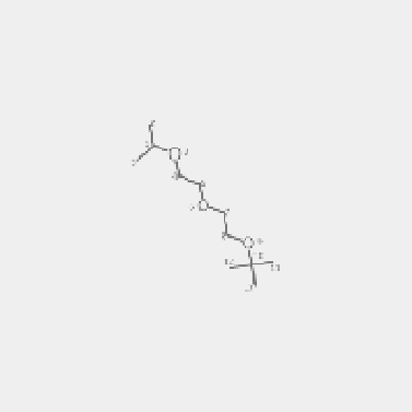 CC(C)OCCOCCOC(C)(C)C